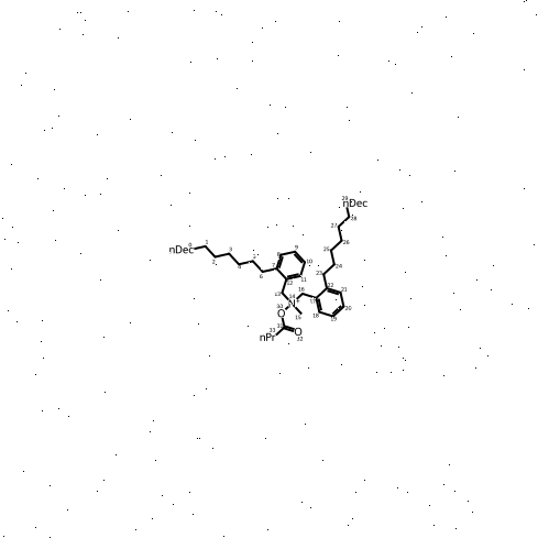 CCCCCCCCCCCCCCCCc1ccccc1C[N+](C)(Cc1ccccc1CCCCCCCCCCCCCCCC)OC(=O)CCC